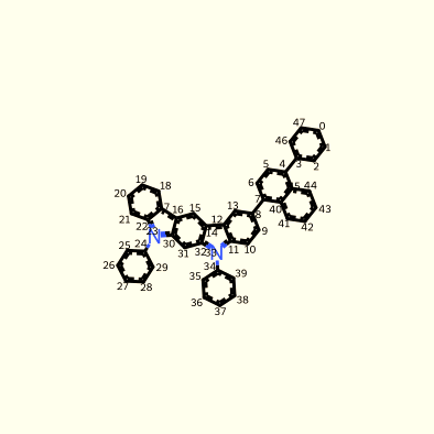 c1ccc(-c2ccc(-c3ccc4c(c3)c3cc5c6ccccc6n(-c6ccccc6)c5cc3n4-c3ccccc3)c3ccccc23)cc1